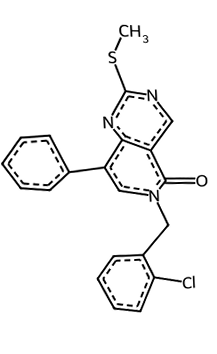 CSc1ncc2c(=O)n(Cc3ccccc3Cl)cc(-c3ccccc3)c2n1